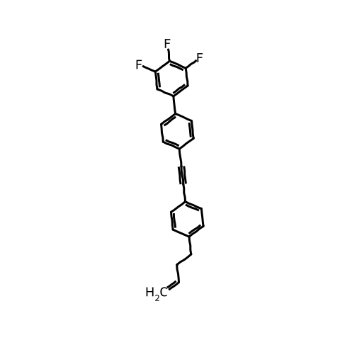 C=CCCc1ccc(C#Cc2ccc(-c3cc(F)c(F)c(F)c3)cc2)cc1